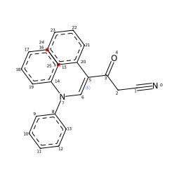 N#CCC(=O)/C(=C/N(c1ccccc1)c1ccccc1)c1ccccc1